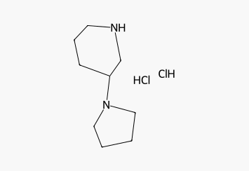 C1CNCC(N2CCCC2)C1.Cl.Cl